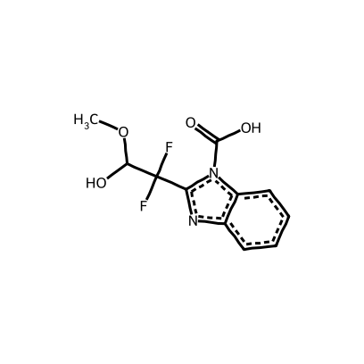 COC(O)C(F)(F)c1nc2ccccc2n1C(=O)O